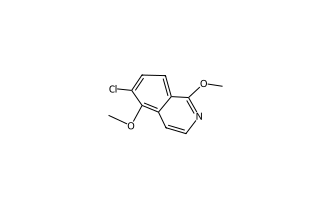 COc1nccc2c(OC)c(Cl)ccc12